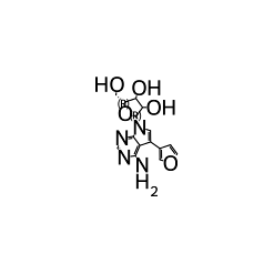 Nc1ncnc2c1c(-c1ccoc1)cn2[C@@H]1O[C@H](CO)C(O)C1O